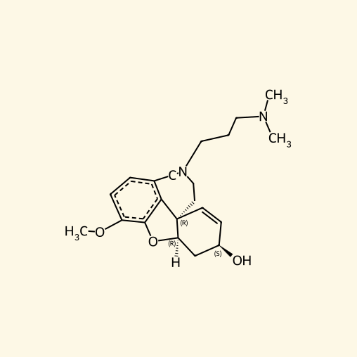 COc1ccc2c3c1O[C@@H]1C[C@H](O)C=C[C@]31CCN(CCCN(C)C)C2